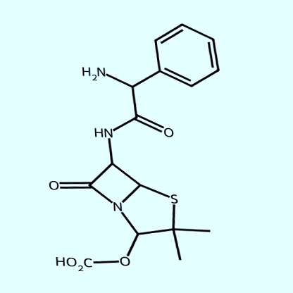 CC1(C)SC2C(NC(=O)C(N)c3ccccc3)C(=O)N2C1OC(=O)O